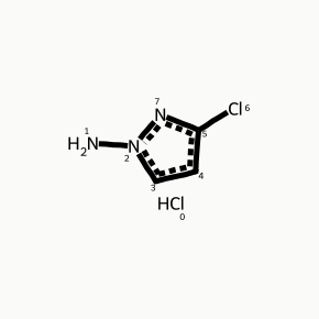 Cl.Nn1ccc(Cl)n1